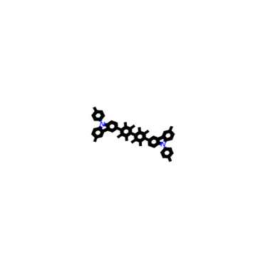 Cc1ccc(-n2c3ccc(C)cc3c3cc(-c4c(C)c(C)c(-c5c(C)c(C)c(-c6ccc7c(c6)c6cc(C)ccc6n7-c6ccc(C)cc6)c(C)c5C)c(C)c4C)ccc32)cc1